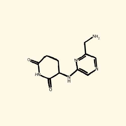 NCc1cncc(NC2CCC(=O)NC2=O)n1